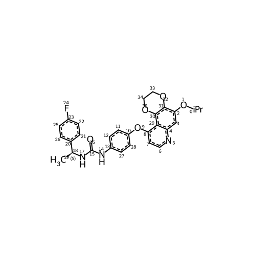 CC(C)Oc1cc2nccc(Oc3ccc(NC(=O)N[C@@H](C)c4ccc(F)cc4)cc3)c2c2c1OCCO2